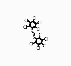 Clc1c(Cl)c(Cl)c(SSSc2c(Cl)c(Cl)c(Cl)c(Cl)c2Cl)c(Cl)c1Cl